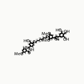 COc1ccc2c(c1)C(=O)NC(c1ccc(OCCCCCCCOc3c(OC)cc(-c4cc(-c5cc(CO)c(CO)c(CO)c5)no4)cc3OC)c(CO)c1)N2